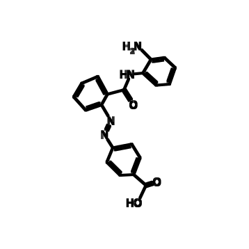 Nc1ccccc1NC(=O)c1ccccc1N=Nc1ccc(C(=O)O)cc1